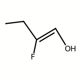 CCC(F)=CO